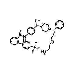 CCCOCOC(c1ccccc1)N1CCC(N(C)c2ccc(NC(=O)c3ccccc3-c3ccc(C(F)(F)F)cc3)cc2)CC1